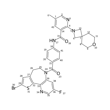 Cc1cnc(N2CC3(CCOCC3)C2)c(C(=O)Nc2ccc(C(=O)N3CCc4cc(Br)sc4-c4ncc(F)cc43)cc2)c1